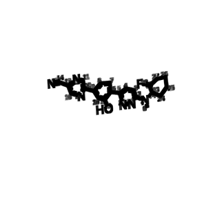 CN(c1ccc(-c2ccc(-c3cnc(C#N)cn3)cc2O)nn1)[C@@H]1CCCC[C@@H]1F